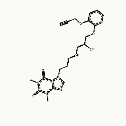 C#CCOc1ccccc1OCC(O)CNCCCn1cnc2c1c(=O)n(C)c(=O)n2C